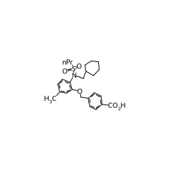 CCCS(=O)(=O)N(CC1CCCCC1)c1ccc(C)cc1OCc1ccc(C(=O)O)cc1